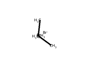 CCCCCCCCCCCCCCCCCCO[N+](C)(C)OCCCCCCCCCCCCCCCCCC.[Br-]